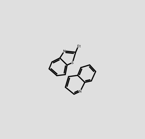 CCc1nc2ccccc2s1.c1ccc2ncccc2c1